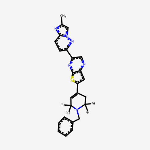 [2H]C1([2H])C=C(c2cc3ncc(-c4ccc5nc(C)cn5n4)nc3s2)CC([2H])([2H])N1Cc1ccccc1